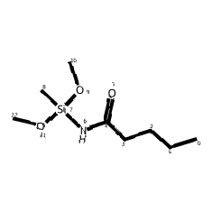 CCCCC(=O)N[Si](C)(OC)OC